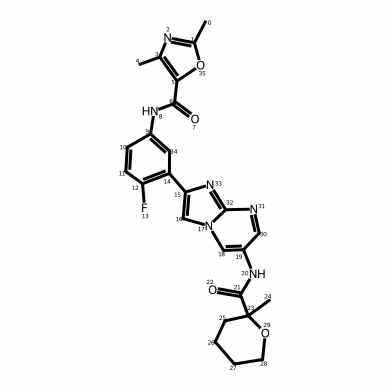 Cc1nc(C)c(C(=O)Nc2ccc(F)c(-c3cn4cc(NC(=O)C5(C)CCCCO5)cnc4n3)c2)o1